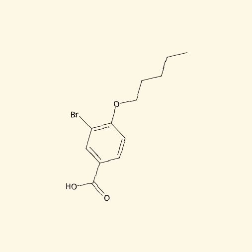 CCCCCOc1ccc(C(=O)O)cc1Br